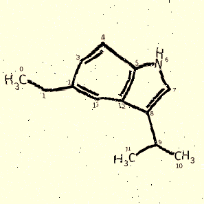 CCc1ccc2[nH]cc(C(C)C)c2c1